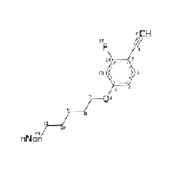 C#Cc1ccc(OCCCCCCCCCCCCCC)cc1F